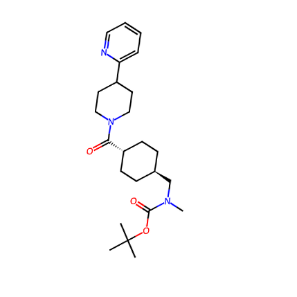 CN(C[C@H]1CC[C@H](C(=O)N2CCC(c3ccccn3)CC2)CC1)C(=O)OC(C)(C)C